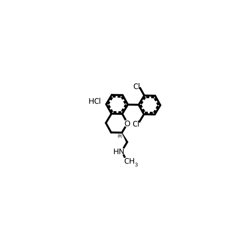 CNC[C@H]1CCc2cccc(-c3c(Cl)cccc3Cl)c2O1.Cl